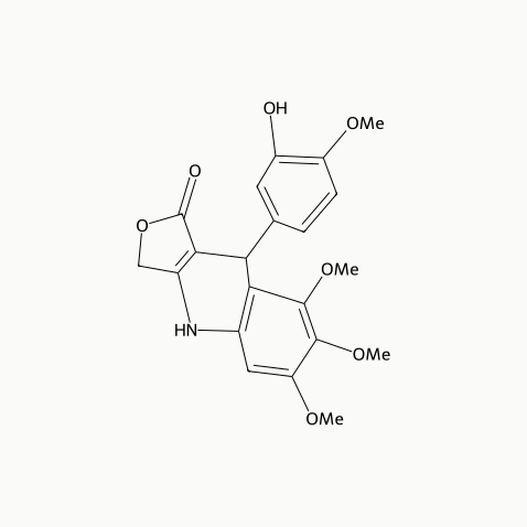 COc1ccc(C2C3=C(COC3=O)Nc3cc(OC)c(OC)c(OC)c32)cc1O